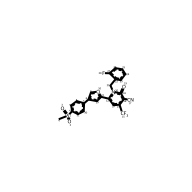 CS(=O)(=O)c1ccc(-c2coc(-c3cc(C(F)(F)F)c(C#N)c(=O)n3Cc3ccccc3F)c2)cc1